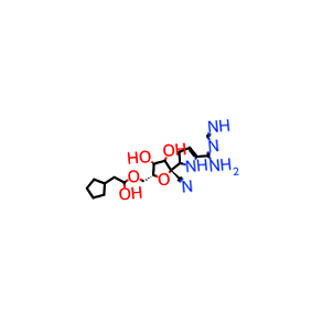 N#C[C@@]1(C2CC=C(/C(N)=N\C=N)N2)O[C@H](COC(O)CC2CCCC2)[C@@H](O)[C@H]1O